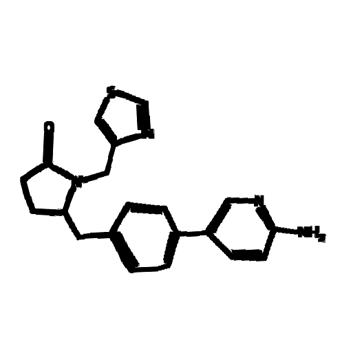 Nc1ccc(-c2ccc(CC3CCC(=O)N3Cc3cscn3)cc2)cn1